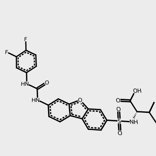 CC(C)[C@H](NS(=O)(=O)c1ccc2c(c1)oc1cc(NC(=O)Nc3ccc(F)c(F)c3)ccc12)C(=O)O